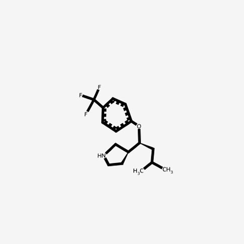 CC(C)C[C@H](Oc1ccc(C(F)(F)F)cc1)[C@H]1CCNC1